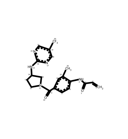 C=CC(=O)Nc1ccc(C(=O)N2CCC(Nc3ncc(C(F)(F)F)cn3)C2)cc1C